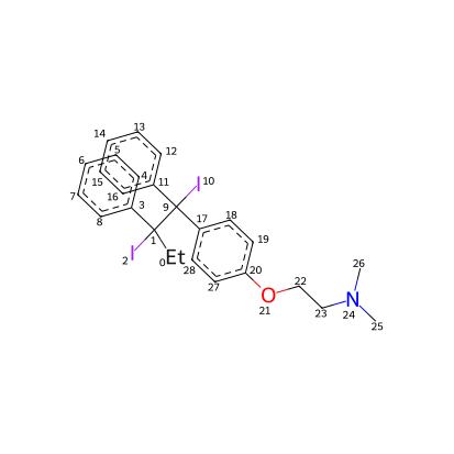 CCC(I)(c1ccccc1)C(I)(c1ccccc1)c1ccc(OCCN(C)C)cc1